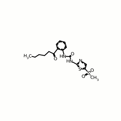 CCCCCC(=O)c1ccccc1NC(=O)Nc1ncc(S(C)(=O)=O)s1